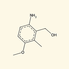 COc1ccc(N)c(CO)c1C